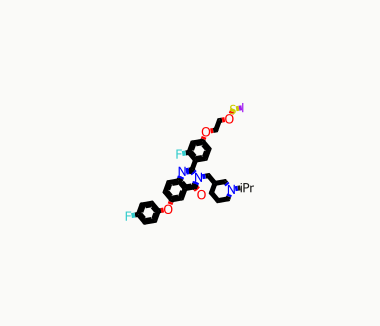 CC(C)N1CCCC(Cn2c(-c3ccc(OCCOSI)cc3F)nc3ccc(Oc4ccc(F)cc4)cc3c2=O)C1